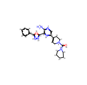 Nc1ncc(C2=CCN(C(=O)N3CCCCC3)CC2)nc1-c1nnc(-c2ccccc2)o1